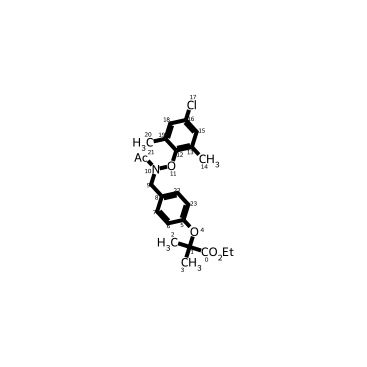 CCOC(=O)C(C)(C)Oc1ccc(CN(Oc2c(C)cc(Cl)cc2C)C(C)=O)cc1